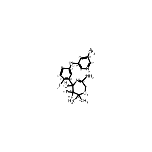 CC1(C)OCC(N)=NC(C)(c2cc(Nc3cncc(C(F)(F)F)c3)ccc2F)C1(F)F